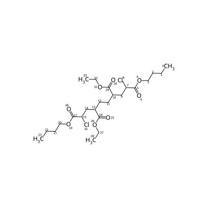 CCCCOC(=O)C(Cl)CC(CCC(CC(Cl)C(=O)OCCCC)C(=O)OCC)C(=O)OCC